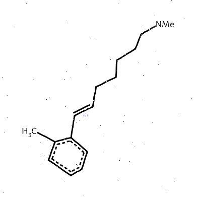 CNCCCCC/C=C/c1ccccc1C